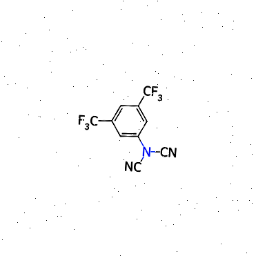 N#CN(C#N)c1cc(C(F)(F)F)cc(C(F)(F)F)c1